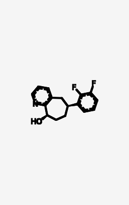 O[C@@H]1CC[C@H](c2cccc(F)c2F)Cc2cccnc21